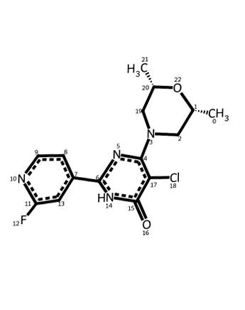 C[C@@H]1CN(c2nc(-c3ccnc(F)c3)[nH]c(=O)c2Cl)C[C@H](C)O1